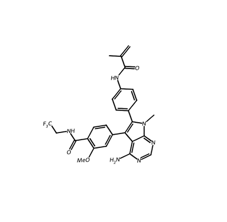 C=C(C)C(=O)Nc1ccc(-c2c(-c3ccc(C(=O)NCC(F)(F)F)c(OC)c3)c3c(N)ncnc3n2C)cc1